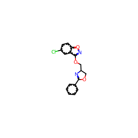 Clc1ccc2onc(OCC3COC(c4ccccc4)=N3)c2c1